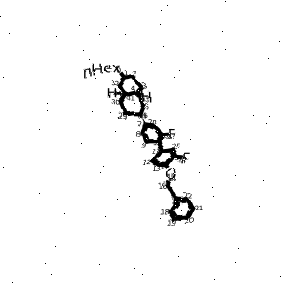 CCCCCCC1CC[C@@H]2C[C@H](c3ccc(-c4ccc(OCc5ccccc5)c(F)c4)c(F)c3)CC[C@@H]2C1